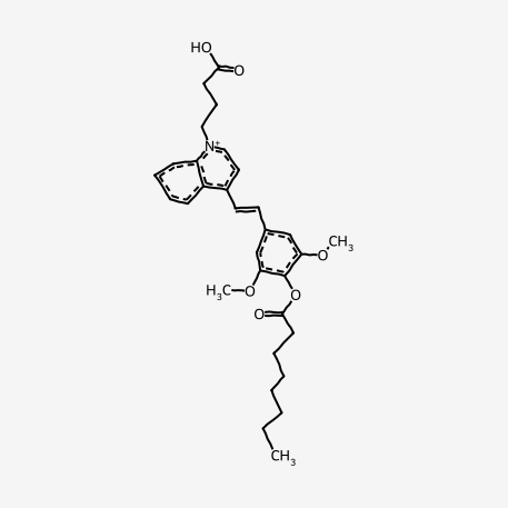 CCCCCCCC(=O)Oc1c(OC)cc(C=Cc2cc[n+](CCCC(=O)O)c3ccccc23)cc1OC